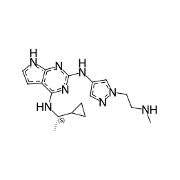 CNCCn1cc(Nc2nc(N[C@@H](C)C3CC3)c3cc[nH]c3n2)cn1